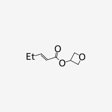 CCC=CC(=O)OC1COC1